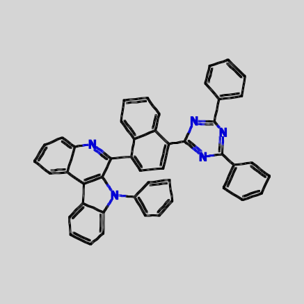 c1ccc(-c2nc(-c3ccccc3)nc(-c3ccc(-c4nc5ccccc5c5c6ccccc6n(-c6ccccc6)c45)c4ccccc34)n2)cc1